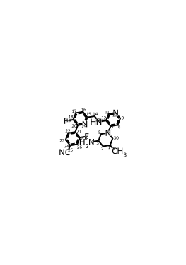 CC1CC(N)CN(c2ccncc2NCc2ccc(F)c(-c3ccc(C#N)cc3F)n2)C1